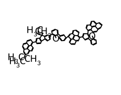 CCC1(CC)c2cc(-c3ccc4ccc5cc(C(C)(C)C)cc6ccc3c4c56)ccc2-c2ccc(-c3cccc4c3oc3ccc(-c5cc6cccc7c(-c8cc(-c9ccc%10ccc%11cccc%12ccc9c%10c%11%12)c9oc%10ccccc%10c9c8)cc8cccc5c8c67)cc34)cc21